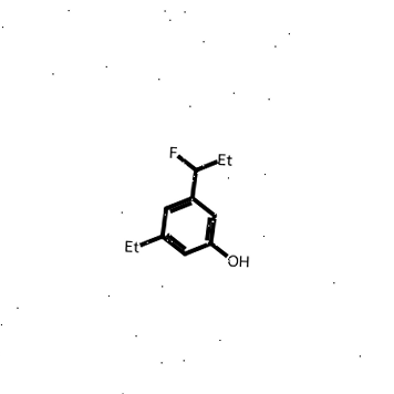 [CH2]CC(F)c1cc(O)cc(CC)c1